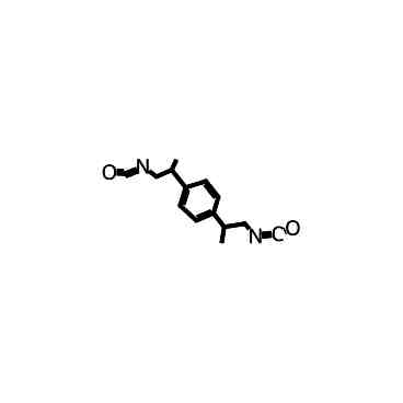 CC(CN=C=O)c1ccc(C(C)CN=C=O)cc1